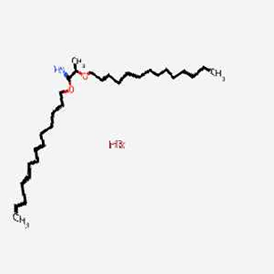 Br.CCCCCCCCCCCCCCOC(=N)C(C)OCCCCCCCCCCCCCC